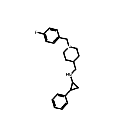 Fc1ccc(CN2CCC(CNC3CC3c3ccccc3)CC2)cc1